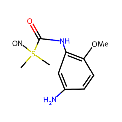 COc1ccc(N)cc1NC(=O)S(C)(C)N=O